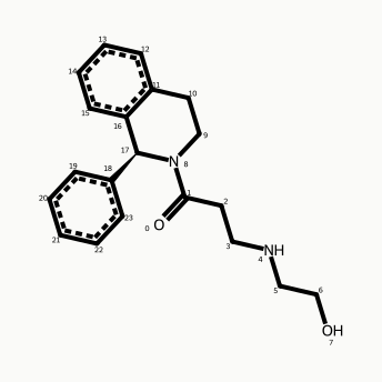 O=C(CCNCCO)N1CCc2ccccc2[C@@H]1c1ccccc1